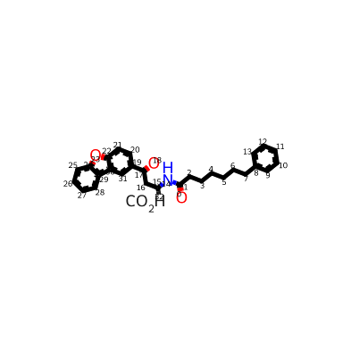 O=C(CCCCCCc1ccccc1)NC(CC(=O)c1ccc2oc3ccccc3c2c1)C(=O)O